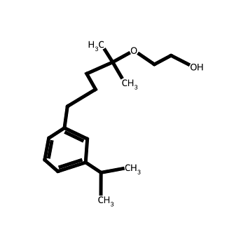 CC(C)c1cccc(CCCC(C)(C)OCCO)c1